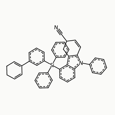 N#CC1C=Cc2c(c3c([Si](c4ccccc4)(c4ccccc4)c4cccc(C5=CCCC=C5)c4)cccc3n2-c2ccccc2)C1